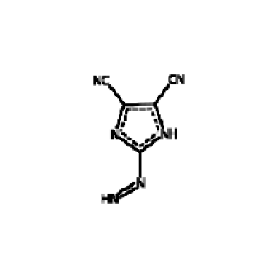 N#Cc1nc(N=N)[nH]c1C#N